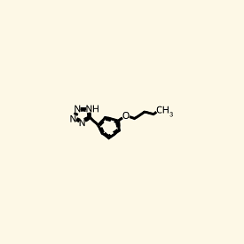 CCCCOc1cccc(-c2nnn[nH]2)c1